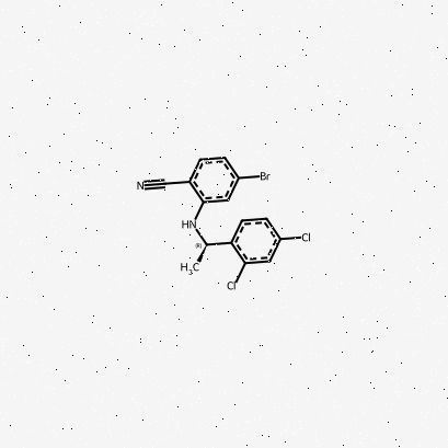 C[C@@H](Nc1cc(Br)ccc1C#N)c1ccc(Cl)cc1Cl